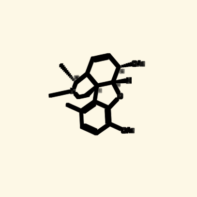 CC(=O)Oc1ccc(C)c2c1O[C@H]1[C@@H](OC(C)=O)C=CC3[C@@H](C)N(C)CC[C@@]231